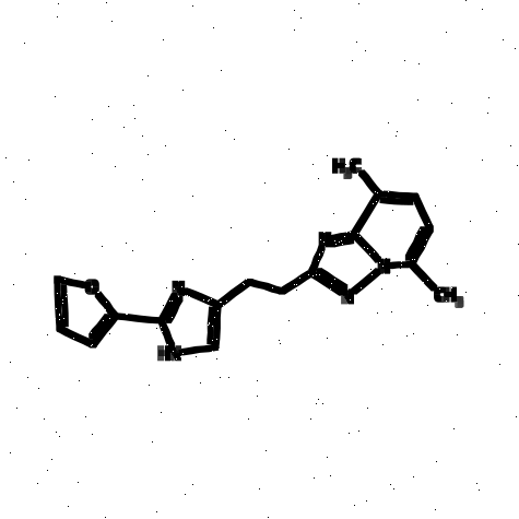 Cc1ccc(C)n2nc(CCc3c[nH]c(-c4ccco4)n3)nc12